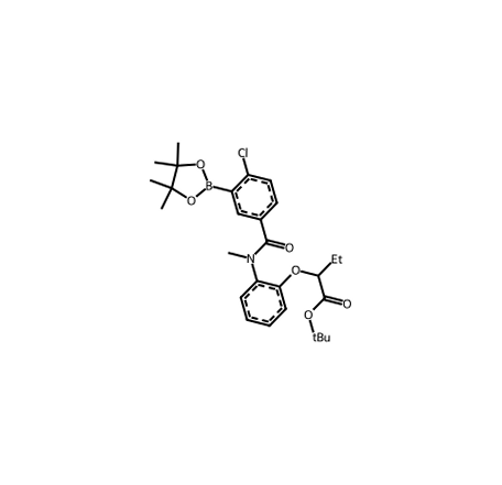 CCC(Oc1ccccc1N(C)C(=O)c1ccc(Cl)c(B2OC(C)(C)C(C)(C)O2)c1)C(=O)OC(C)(C)C